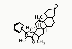 CC1C[C@H]2[C@@H]3CCC4CC(=O)CC[C@]4(C)C3=CC[C@]2(C)[C@@]1(OC(=O)c1ccccc1)C(=O)CO